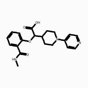 CNC(=O)c1ccccc1OC(C(=O)O)C1CCN(c2ccncc2)CC1